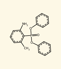 Cc1cccc(N)c1P(=O)(Oc1ccccc1)Oc1ccccc1